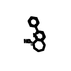 O[C@H]1CCCCc2ccc(-c3ccccc3)nc21